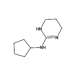 C1CN=C(NC2CCCC2)NC1